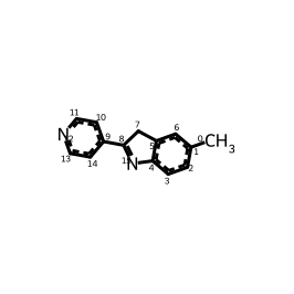 Cc1ccc2c(c1)CC(c1ccncc1)=N2